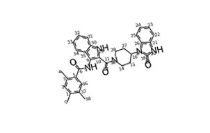 Cc1cc(C)c(C(=O)Nc2c(C(=O)N3CCC(n4c(=O)[nH]c5ccccc54)CC3)[nH]c3ccccc23)cc1C